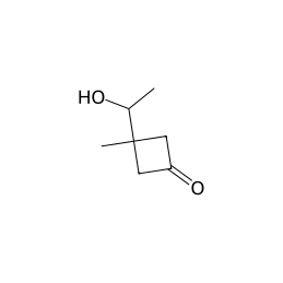 CC(O)C1(C)CC(=O)C1